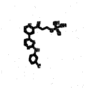 O=P(O)(O)OCCNc1cc(-c2ccnc(Nc3cccc(Cl)c3)n2)ccn1